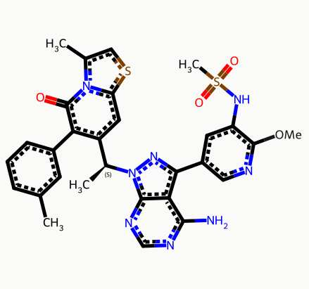 COc1ncc(-c2nn([C@@H](C)c3cc4scc(C)n4c(=O)c3-c3cccc(C)c3)c3ncnc(N)c23)cc1NS(C)(=O)=O